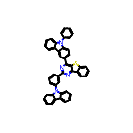 c1ccc(-n2c3ccccc3c3cc(-c4nc(-c5cccc(-n6c7ccccc7c7ccccc76)c5)nc5c4sc4ccccc45)ccc32)cc1